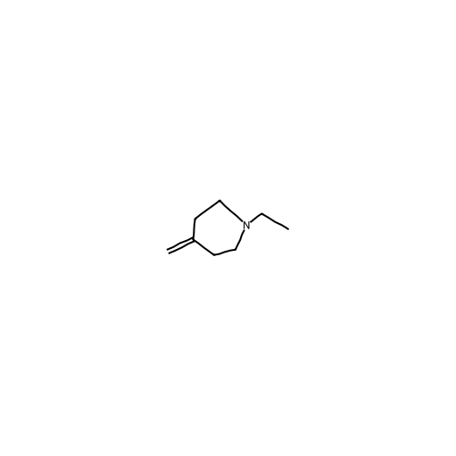 C=C1CCN(CC)CC1